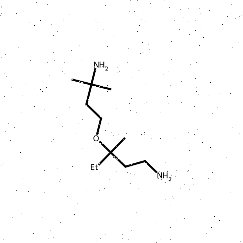 CCC(C)(CCN)OCCC(C)(C)N